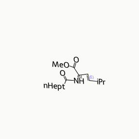 CCCCCCCC(=O)N[C@@H](/C=C/C(C)C)C(=O)OC